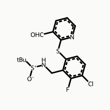 CC(C)(C)[S+]([O-])NCc1c(Sc2ncccc2C=O)ccc(Cl)c1F